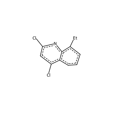 CCc1cccc2c(Cl)cc(Cl)nc12